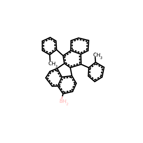 Bc1ccc2c3c(cccc13)-c1c-2c(-c2ccccc2C)c2ccccc2c1-c1ccccc1C